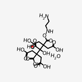 NCCNOC(=O)C(CC(=O)O)(CC(=O)O)C(O)(C(=O)O)C(CC(=O)O)(CC(=O)O)C(=O)O.O